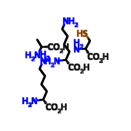 C[C@H](N)C(=O)O.NCCCC[C@H](N)C(=O)O.NCCCC[C@H](N)C(=O)O.N[C@@H](CS)C(=O)O